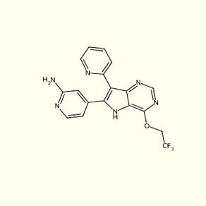 Nc1cc(-c2[nH]c3c(OCC(F)(F)F)ncnc3c2-c2ccccn2)ccn1